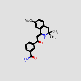 COc1ccc2c(c1)/C(=C/C(=O)c1cccc(C(N)=O)c1)NC(C)(C)C2